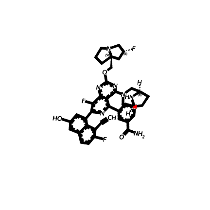 C#Cc1c(F)ccc2cc(O)cc(-c3nc(-c4cncc(C(N)=O)c4)c4c(N5C[C@H]6CC[C@@H](C5)N6)nc(OC[C@@]56CCCN5C[C@H](F)C6)nc4c3F)c12